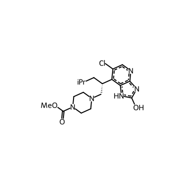 COC(=O)N1CCN(C[C@H](CC(C)C)c2c(Cl)cnc3nc(O)[nH]c23)CC1